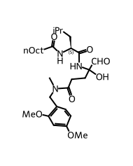 CCCCCCCCC(=O)N[C@@H](CC(C)C)C(=O)NC(O)(C=O)CCC(=O)N(C)Cc1ccc(OC)cc1OC